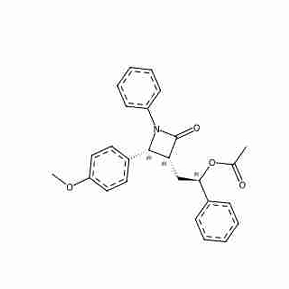 COc1ccc([C@H]2[C@@H](C[C@@H](OC(C)=O)c3ccccc3)C(=O)N2c2ccccc2)cc1